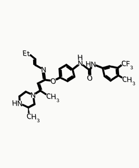 CC/C=C/N=C(\C=C(/C)N1CCN[C@H](C)C1)Oc1ccc(NC(=O)Nc2ccc(C)c(C(F)(F)F)c2)cc1